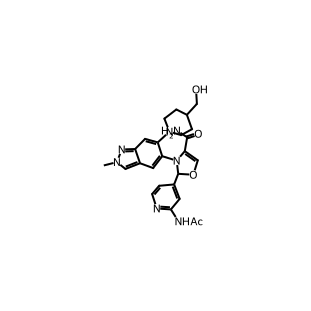 CC(=O)Nc1cc(C2OC=C(C(N)=O)N2c2cc3cn(C)nc3cc2N2CCC(CO)CC2)ccn1